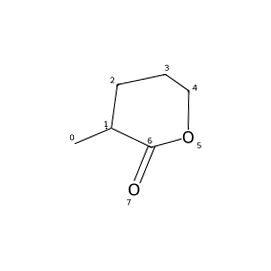 C[C]1CCCOC1=O